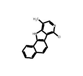 Cc1cnc(Cl)c2c1[nH]c1c3ccccc3ccc12